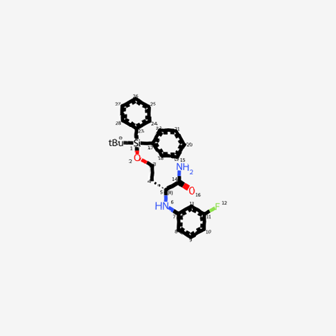 CC(C)(C)[Si](OCC[C@@H](Nc1cccc(F)c1)C(N)=O)(c1ccccc1)c1ccccc1